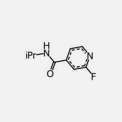 CC(C)NC(=O)c1ccnc(F)c1